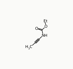 CC#CNC(=O)OCC